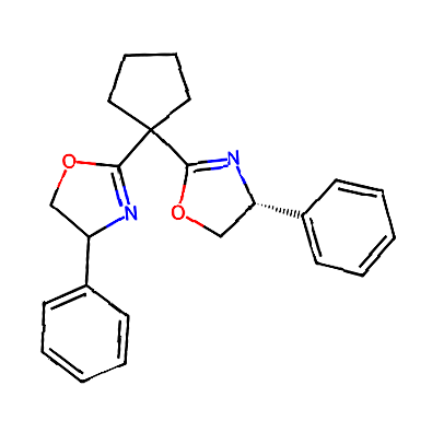 c1ccc(C2COC(C3(C4=N[C@H](c5ccccc5)CO4)CCCC3)=N2)cc1